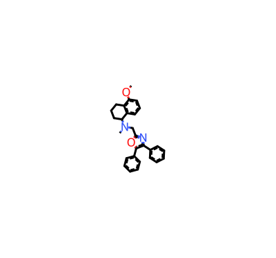 COc1cccc2c1CCCC2N(C)Cc1nc(-c2ccccc2)c(-c2ccccc2)o1